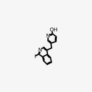 Oc1ccc(Cc2cnc(I)c3ccccc23)cn1